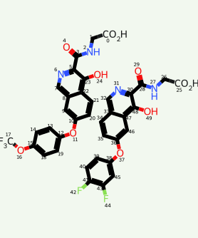 O=C(O)CNC(=O)c1ncc2cc(Oc3ccc(OC(F)(F)F)cc3)ccc2c1O.O=C(O)CNC(=O)c1ncc2ccc(Oc3ccc(F)c(F)c3)cc2c1O